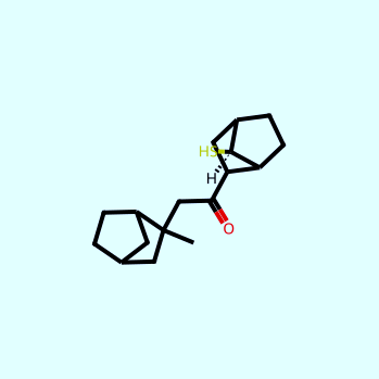 CC1(CC(=O)C2CC3CCC2[C@H]3S)CC2CCC1C2